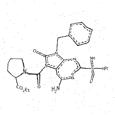 CCCS(=N)(=O)c1nc(N)c2c(n1)n(Cc1ccccc1)c(=O)n2C(=O)N1CCCC1C(=O)OCC